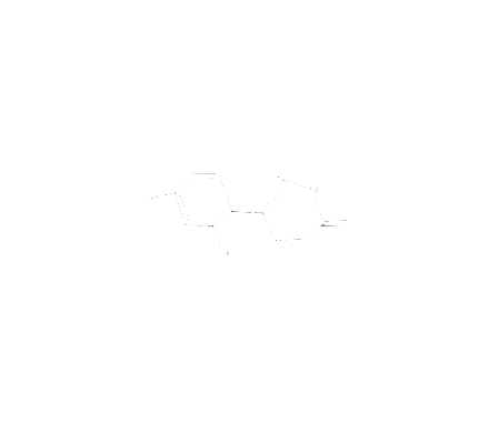 O=C1CCC(c2ccc(F)cc2O)=NN1